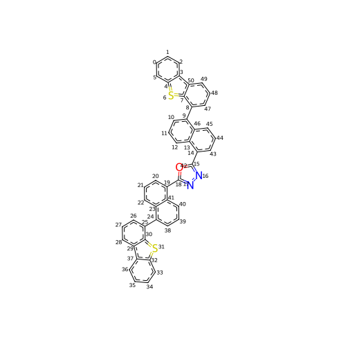 c1ccc2c(c1)sc1c(-c3cccc4c(-c5nnc(-c6cccc7c(-c8cccc9c8sc8ccccc89)cccc67)o5)cccc34)cccc12